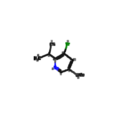 COc1cnc(C(C)C#N)c(Br)c1